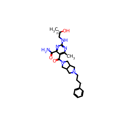 Cc1nc(NC[C@H](C)O)nc(C(N)=O)c1C(=O)N1CC2CN(CC[CH]c3ccccc3)CC2C1